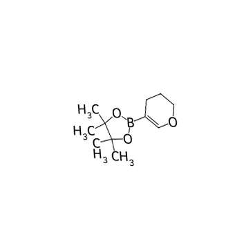 CC1(C)OB(C2=COCCC2)OC1(C)C